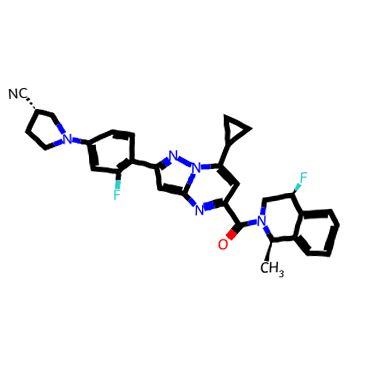 C[C@@H]1c2ccccc2[C@H](F)CN1C(=O)c1cc(C2CC2)n2nc(-c3ccc(N4CC[C@H](C#N)C4)cc3F)cc2n1